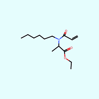 C=CC(=O)N(CCCCCC)C(C)C(=O)OCC